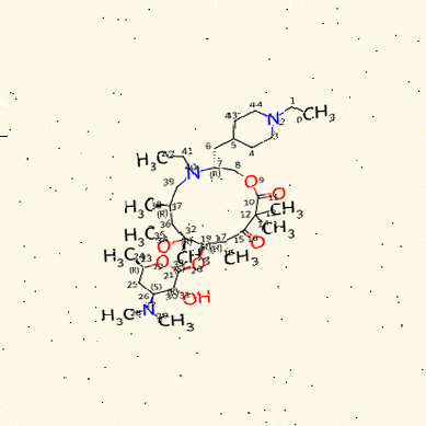 CCN1CCC(C[C@@H]2COC(=O)C(C)(C)C(=O)[C@H](C)[C@@H](O[C@@H]3O[C@H](C)C[C@H](N(C)C)[C@H]3O)[C@](C)(OC)C[C@@H](C)CN2CC)CC1